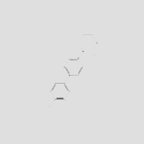 Nc1ccc(-c2ccc(C3OCCCO3)cc2)cc1